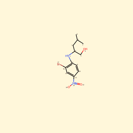 CC(C)CC(CO)Nc1ccc([N+](=O)[O-])cc1Br